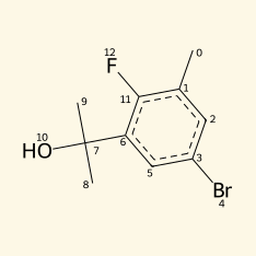 Cc1cc(Br)cc(C(C)(C)O)c1F